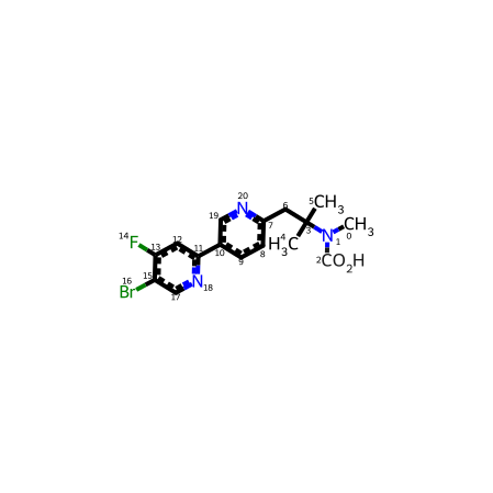 CN(C(=O)O)C(C)(C)Cc1ccc(-c2cc(F)c(Br)cn2)cn1